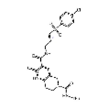 CC(C)(C)NC(=O)N1CCc2[nH]c(=O)c(C(=O)NC/C=C/S(=O)(=O)c3ccc(Cl)cc3)cc2C1